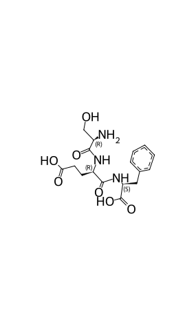 N[C@H](CO)C(=O)N[C@H](CCC(=O)O)C(=O)N[C@@H](Cc1ccccc1)C(=O)O